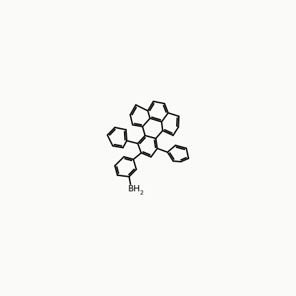 Bc1cccc(-c2cc(-c3ccccc3)c3c4cccc5ccc6cccc(c3c2-c2ccccc2)c6c54)c1